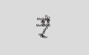 CNC(=O)COc1cc2cc(Nc3nc(N4CCC(C(=O)NCCOCCOCCOCCNC(=O)OC(C)(C)C)CC4)ncc3Cl)cc(OC)c2n(C)c1=O